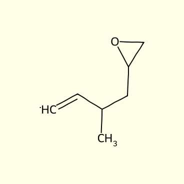 [CH]=CC(C)CC1CO1